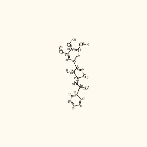 COc1cc(-c2cs/c(=N\C(=O)c3ccccc3)n2C)cc(OC)c1OC